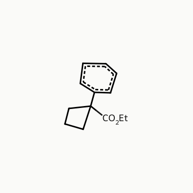 CCOC(=O)C1(c2ccccc2)CCC1